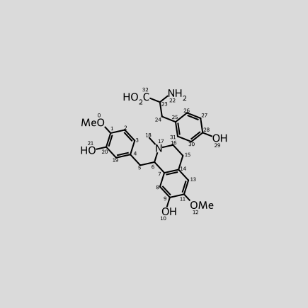 COc1ccc(CC2c3cc(O)c(OC)cc3CCN2C)cc1O.NC(Cc1ccc(O)cc1)C(=O)O